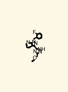 C=COCc1n[nH]c(-c2nn(Cc3ccccc3F)c3ncccc23)n1